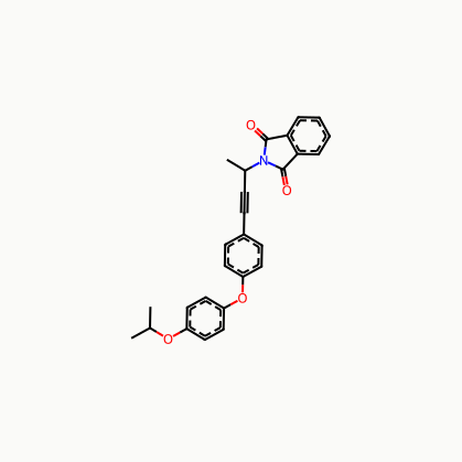 CC(C)Oc1ccc(Oc2ccc(C#CC(C)N3C(=O)c4ccccc4C3=O)cc2)cc1